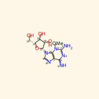 COn1c(N)nc(=N)c2ncn([C@@H]3O[C@H](CO)[C@@H](O)[C@H]3O)c21